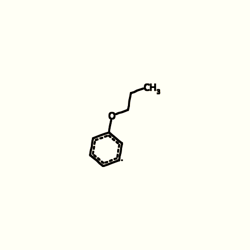 CCCOc1c[c]ccc1